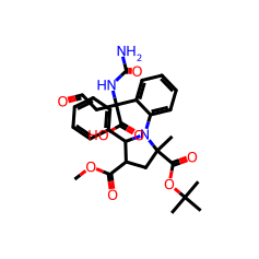 COC(=O)C1CC(C)(C(=O)OC(C)(C)C)N(c2ccccc2C(CC=O)(NC(N)=O)C(=O)O)C1c1ccccc1